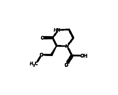 COC[C@H]1C(=O)NCCN1C(=O)O